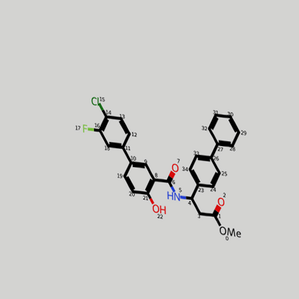 COC(=O)CC(NC(=O)c1cc(-c2ccc(Cl)c(F)c2)ccc1O)c1ccc(-c2ccccc2)cc1